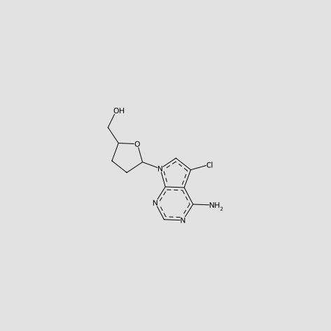 Nc1ncnc2c1c(Cl)cn2C1CCC(CO)O1